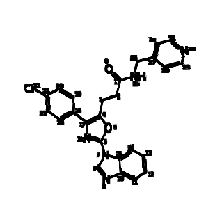 O=C(CCc1oc(-n2cnc3ccccc32)nc1-c1ccc(Cl)cc1)NCc1ccncc1